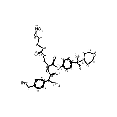 CC(C)Cc1ccc(C(C)C(=O)OC(COC(=O)CCCO[N+](=O)[O-])C(=O)Oc2ccc(P(=S)(S)N3CCOCC3)cc2)cc1